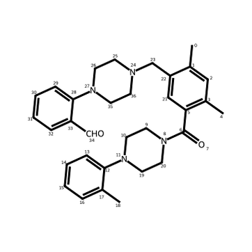 Cc1cc(C)c(C(=O)N2CCN(c3ccccc3C)CC2)cc1CN1CCN(c2ccccc2C=O)CC1